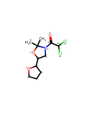 CC1(C)OC(C2CCCO2)CN1C(=O)C(Cl)Cl